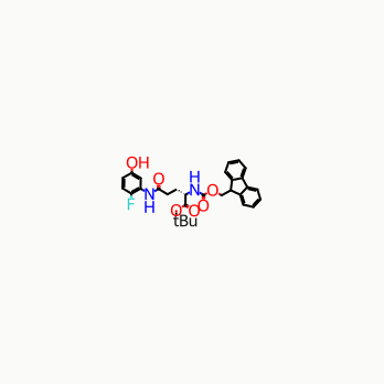 CC(C)(C)OC(=O)[C@H](CCC(=O)Nc1cc(O)ccc1F)NC(=O)OCC1c2ccccc2-c2ccccc21